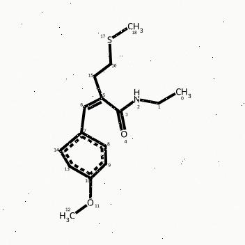 CCNC(=O)C(=Cc1ccc(OC)cc1)CCSC